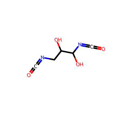 O=C=NCC(O)C(O)N=C=O